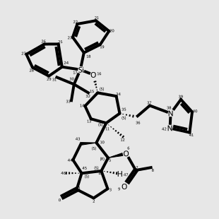 C=C1CC[C@@H]2[C@H](OC(C)=O)[C@H]([C@@]3(C)CC[C@H](O[Si](c4ccccc4)(c4ccccc4)C(C)(C)C)C[C@@H]3CCn3cccn3)CC[C@]12C